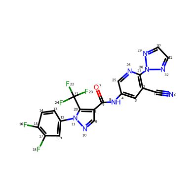 N#Cc1cc(NC(=O)c2cnn(-c3ccc(F)c(F)c3)c2C(F)(F)F)cnc1-n1nccn1